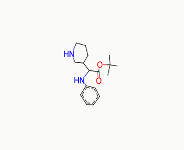 CC(C)(C)OC(=O)C(Nc1ccccc1)C1CCCNC1